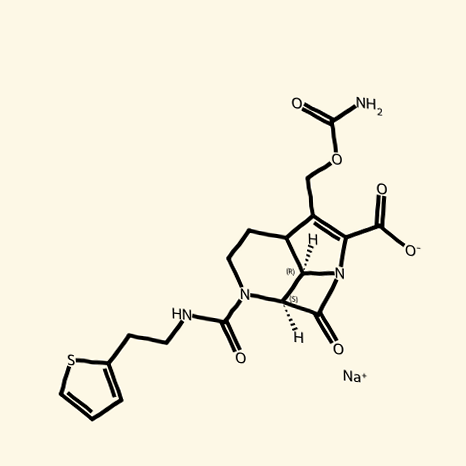 NC(=O)OCC1=C(C(=O)[O-])N2C(=O)[C@@H]3[C@H]2C1CCN3C(=O)NCCc1cccs1.[Na+]